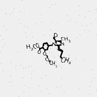 CCCCc1nc(C)c(C=O)n1-c1ccc(C(=O)OC)c(OCOC)c1